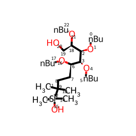 CCCCO[C@@H]([C@H](OCCCC)[C@@H](CCC(C)(C)[Si](C)(C)O)OCCCC)[C@@H](CO)OCCCC